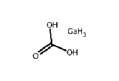 O=C(O)O.[GaH3]